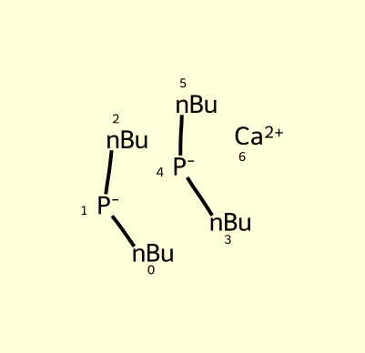 CCCC[P-]CCCC.CCCC[P-]CCCC.[Ca+2]